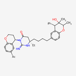 CC[C@@]1(CCCCc2ccc3c(c2)C(C(C)C)C(C)(O)C(C)O3)CC(=O)N([C@@H]2CCOc3ccc(C(C)=O)cc32)C(=N)N1